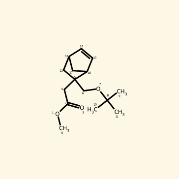 COC(=O)CC1(COC(C)(C)C)CC2C=CC1C2